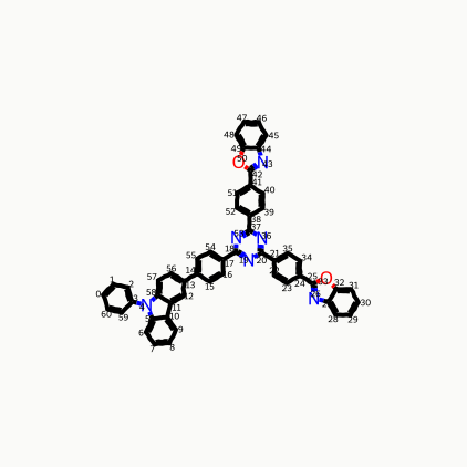 c1ccc(-n2c3ccccc3c3cc(-c4ccc(-c5nc(-c6ccc(-c7nc8ccccc8o7)cc6)nc(-c6ccc(-c7nc8ccccc8o7)cc6)n5)cc4)ccc32)cc1